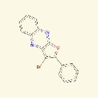 Brc1c(-c2ccccc2)oc2nc3ccccc3nc12